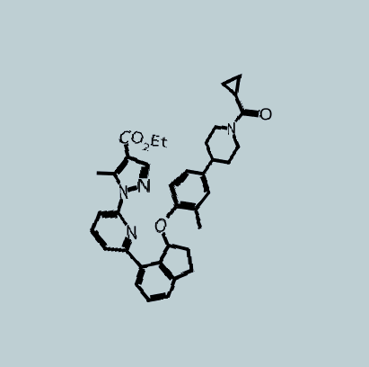 CCOC(=O)c1cnn(-c2cccc(-c3cccc4c3C(Oc3ccc(C5CCN(C(=O)C6CC6)CC5)cc3C)CC4)n2)c1C